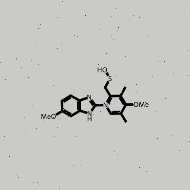 COc1ccc2nc(-[n+]3cc(C)c(OC)c(C)c3CSO)[nH]c2c1